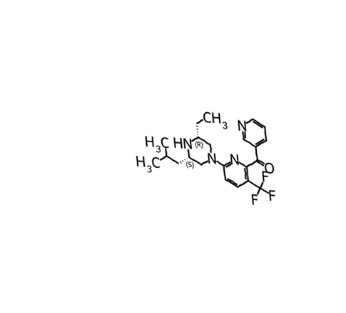 CC[C@@H]1CN(c2ccc(C(F)(F)F)c(C(=O)c3cccnc3)n2)C[C@H](CC(C)C)N1